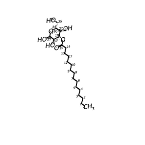 CCCCCCCCCCCCCCCC(=O)O[C@@H]1[C@@H](O)[C@@H](O)O[C@H](CO)[C@H]1O